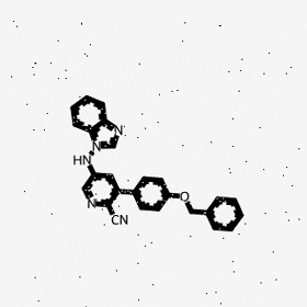 N#Cc1ncc(Nn2cnc3ccccc32)cc1-c1ccc(OCc2ccccc2)cc1